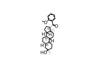 COc1ccccc1C(=O)[C@H]1CC[C@H]2[C@@H]3CC[C@@H]4C[C@](C)(O)CC[C@]4(C)[C@H]3CC[C@]12C